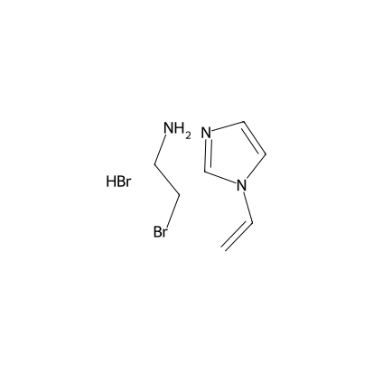 Br.C=Cn1ccnc1.NCCBr